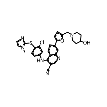 Cn1ccnc1Sc1ccc(Nc2c(C#N)cnc3cc(-c4ccc(CN5CCC(O)CC5)o4)ccc23)cc1Cl